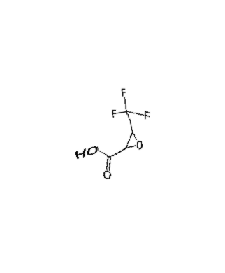 O=C(O)C1OC1C(F)(F)F